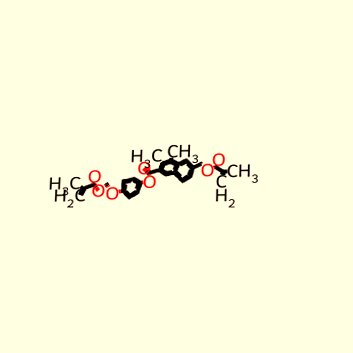 C=C(C)C(=O)OCOc1ccc(OC(=O)c2cc3ccc(COC(=O)C(=C)C)cc3c(C)c2C)cc1